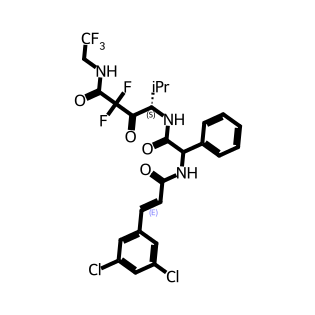 CC(C)[C@H](NC(=O)C(NC(=O)/C=C/c1cc(Cl)cc(Cl)c1)c1ccccc1)C(=O)C(F)(F)C(=O)NCC(F)(F)F